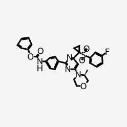 C[C@H]1COCCN1c1cc(C2(S(=O)(=O)c3cccc(F)c3)CC2)nc(-c2ccc(NC(=O)Oc3ccccc3)cc2)n1